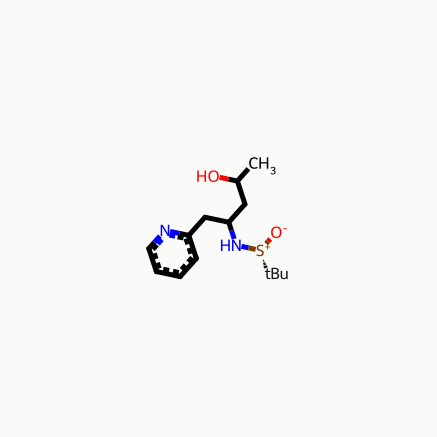 CC(O)CC(Cc1ccccn1)N[S@+]([O-])C(C)(C)C